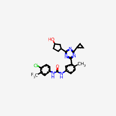 Cc1ccc(NC(=O)Nc2ccc(Cl)c(C(F)(F)F)c2)cc1-c1nc(C2CC2)nc(C2CCC(O)C2)n1